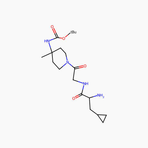 CC1(NC(=O)OC(C)(C)C)CCN(C(=O)CNC(=O)C(N)CC2CC2)CC1